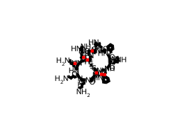 C[C@@H]1NC(=O)[C@@H]2CSS[C@H](NC(=O)[C@H](CCCNC(=N)N)NC(=O)[C@H](CCCCN)NC(=O)[C@H](CCCCN)NC(=O)[C@H](CCCCN)NC1=O)C(=O)N1C[C@H](O)C[C@H]1C(=O)N[C@@H](Cc1c[nH]cn1)C(=O)N[C@H](Cc1ccccc1)C(=O)N[C@@H](Cc1c[nH]cn1)C(=O)N[C@@H](Cc1c[nH]c3ccccc13)C(=O)N2